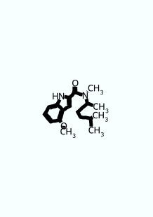 COc1cccc2[nH]c(C(=O)N(C)C(C)CCC(C)C)cc12